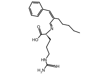 CCCCCC(C=N[C@@H](CCCNC(=N)N)C(=O)O)=Cc1ccccc1